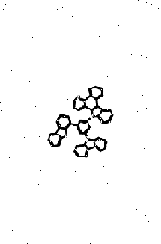 c1ccc2c(c1)sc1c(-c3cc(-n4c5ccccc5c5ccccc54)cc(-n4c5ccccc5c5c6ccccc6c6ncccc6c54)c3)cccc12